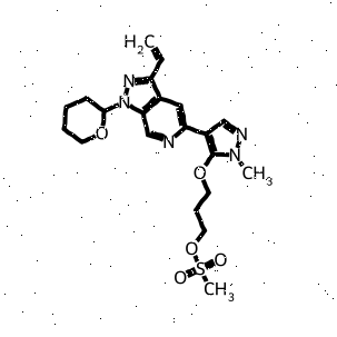 C=Cc1nn(C2CCCCO2)c2cnc(-c3cnn(C)c3OCCCOS(C)(=O)=O)cc12